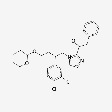 O=C(Cc1ccccc1)c1nccn1CC(CCOC1CCCCO1)c1ccc(Cl)c(Cl)c1